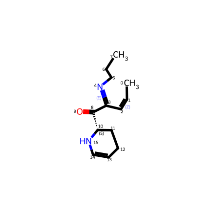 C/C=C\C(=N/CCC)C(=O)[C@@H]1CCC=CN1